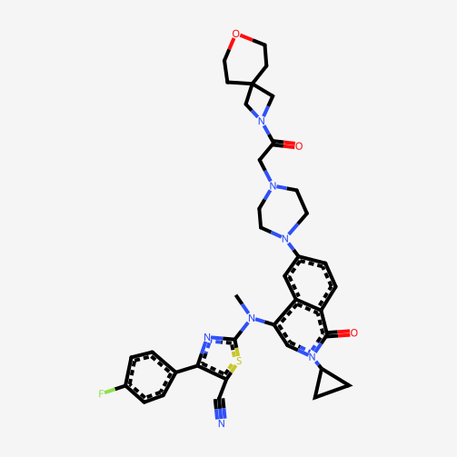 CN(c1nc(-c2ccc(F)cc2)c(C#N)s1)c1cn(C2CC2)c(=O)c2ccc(N3CCN(CC(=O)N4CC5(CCOCC5)C4)CC3)cc12